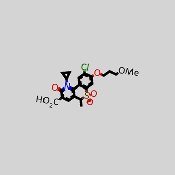 COCCCOc1cc2c(cc1Cl)-c1c(cc(C(=O)O)c(=O)n1C1CC1)C(C)S2(=O)=O